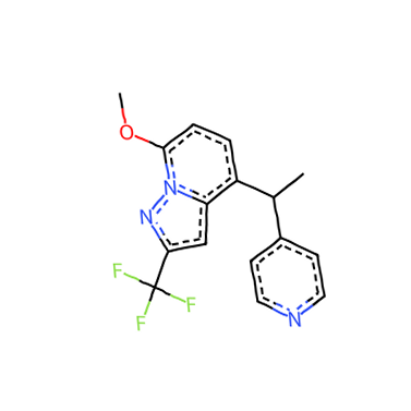 COc1ccc(C(C)c2ccncc2)c2cc(C(F)(F)F)nn12